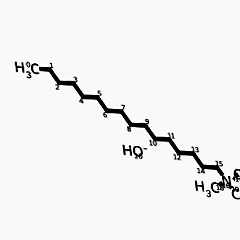 CCCCCCCCCCCCCCCC[N+](C)(C)C.[OH-]